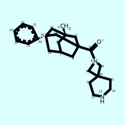 C[C@]12CC3CC(C(=O)N4CC5(CCNCC5)C4)(C1)C[C@@](c1ccccc1)(C3)C2